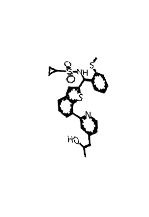 CSc1ccccc1C(NS(=O)(=O)C1CC1)c1cc2cccc(-c3cc(CC(C)O)ccn3)c2s1